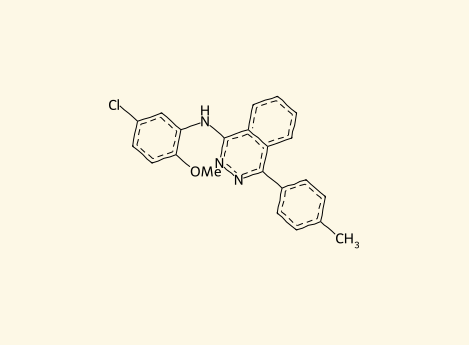 COc1ccc(Cl)cc1Nc1nnc(-c2ccc(C)cc2)c2ccccc12